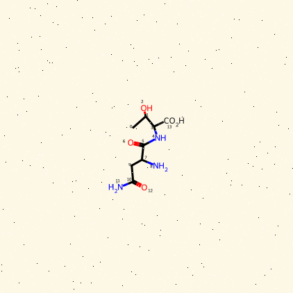 CC(O)C(NC(=O)C(N)CC(N)=O)C(=O)O